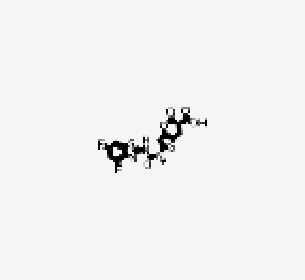 CN(C(=O)Nc1nc2c(F)cc(F)cc2s1)c1cc2oc(=O)c(C(=O)O)cc2s1